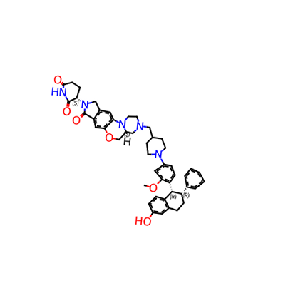 COc1cc(N2CCC(CN3CCN4c5cc6c(cc5OC[C@@H]4C3)C(=O)N([C@H]3CCC(=O)NC3=O)C6)CC2)ccc1[C@H]1c2ccc(O)cc2CC[C@H]1c1ccccc1